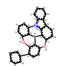 c1ccc(-c2ccc3c4c2Oc2cccc5c2B4c2c(ccc4c6ccccc6n-5c24)O3)cc1